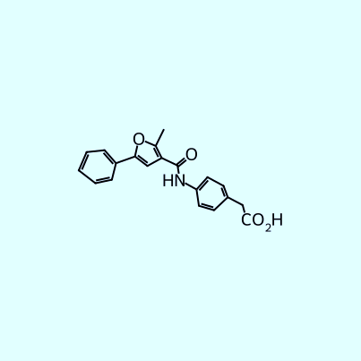 Cc1oc(-c2ccccc2)cc1C(=O)Nc1ccc(CC(=O)O)cc1